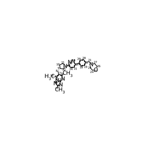 Cc1nc2nc(C)c(C[C@@H]3CCN(c4ccc(-c5ccc(CN6CCOCC6)cc5)nn4)C3)c(C)n2n1